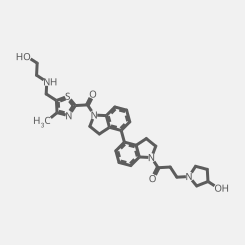 Cc1nc(C(=O)N2CCc3c(-c4cccc5c4CCN5C(=O)CCN4CCC(O)C4)cccc32)sc1CNCCO